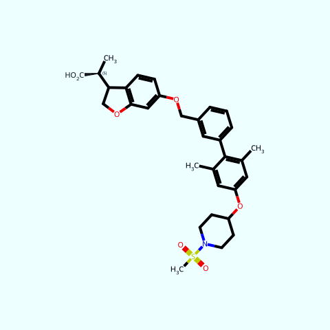 Cc1cc(OC2CCN(S(C)(=O)=O)CC2)cc(C)c1-c1cccc(COc2ccc3c(c2)OCC3[C@H](C)C(=O)O)c1